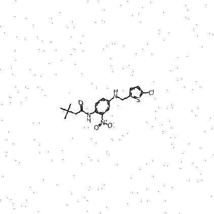 CC(C)(C)CC(=O)Nc1ccc(NCc2ccc(Cl)s2)cc1[N+](=O)[O-]